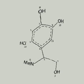 CNC(CO)c1ccc(O)c(O)c1.Cl